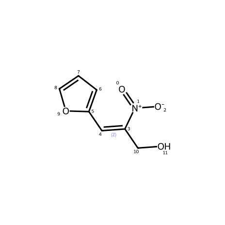 O=[N+]([O-])/C(=C\c1ccco1)CO